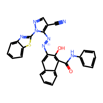 N#Cc1cnn(-c2nc3ccccc3s2)c1/N=N/c1cc2ccccc2c(C(=O)Nc2ccccc2)c1O